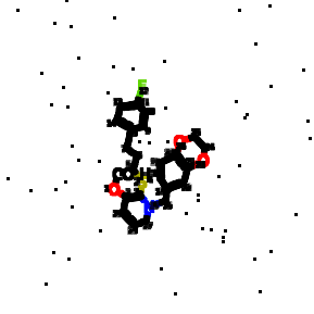 O=C(O)OC1=C(SCCCc2ccc(F)cc2)N(Cc2ccc3c(c2)OCCO3)CC=C1